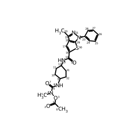 CC(=O)ON(C)C(=O)NC1CCC(NC(=O)c2cc3c(C)nn(-c4ccccc4)c3s2)CC1